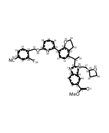 COC(=O)c1ccc2nc(C(C)c3ccc(-c4cccc(OCc5ccc(C#N)cc5F)n4)c4c3CCO4)n(C[C@@H]3CCO3)c2c1